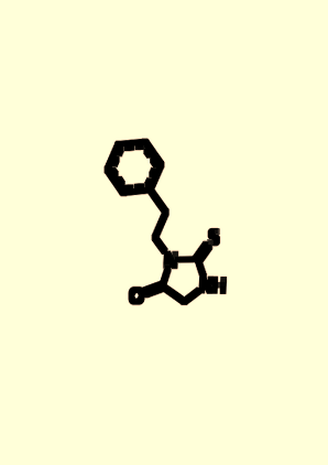 O=C1CNC(=S)N1CCc1ccccc1